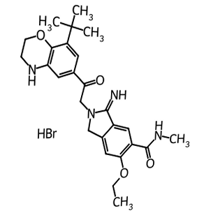 Br.CCOc1cc2c(cc1C(=O)NC)C(=N)N(CC(=O)c1cc3c(c(C(C)(C)C)c1)OCCN3)C2